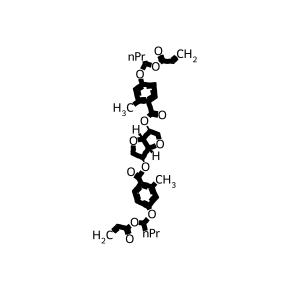 C=CC(=O)OC(CCC)Oc1ccc(C(=O)O[C@@H]2CO[C@H]3[C@@H]2OC[C@H]3OC(=O)c2ccc(OC(CCC)OC(=O)C=C)cc2C)c(C)c1